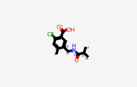 Cc1cc(Cl)c(C(=O)O)cc1CNC(=O)C(C)C